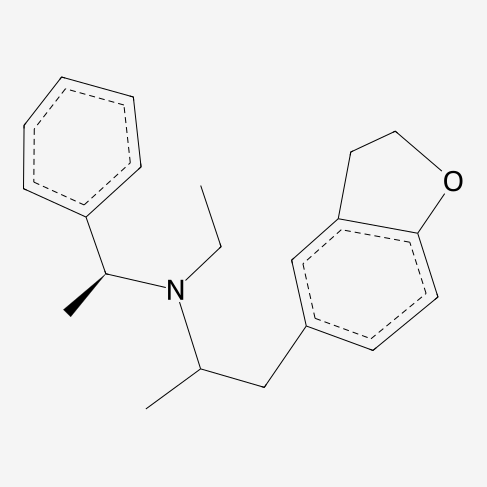 CCN(C(C)Cc1ccc2c(c1)CCO2)[C@@H](C)c1ccccc1